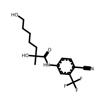 CC(O)(CCCCCO)C(=O)Nc1ccc(C#N)c(C(F)(F)F)c1